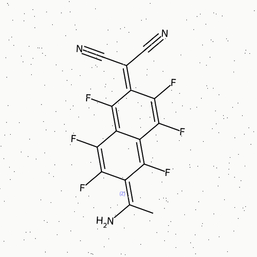 C/C(N)=c1/c(F)c(F)c2c(F)c(=C(C#N)C#N)c(F)c(F)c2c1F